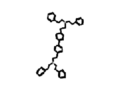 c1ccc(CCN(CCc2ccccc2)CCc2ccc(-c3ccc(CCN(CCc4ccccc4)CCc4ccccc4)cc3)cc2)cc1